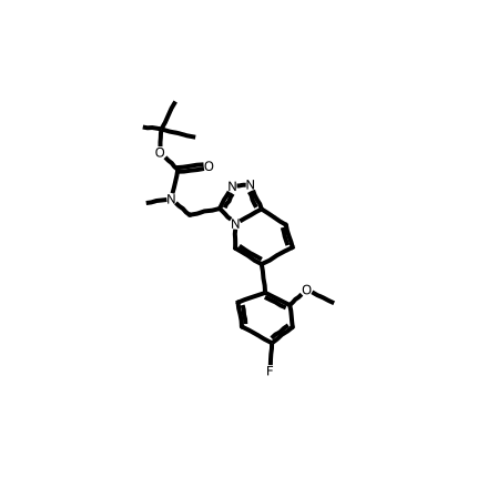 COc1cc(F)ccc1-c1ccc2nnc(CN(C)C(=O)OC(C)(C)C)n2c1